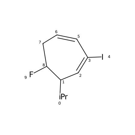 CC(C)C1C=C(I)C=CCC1F